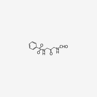 O=CNCC(=O)CNS(=O)(=O)c1ccccc1